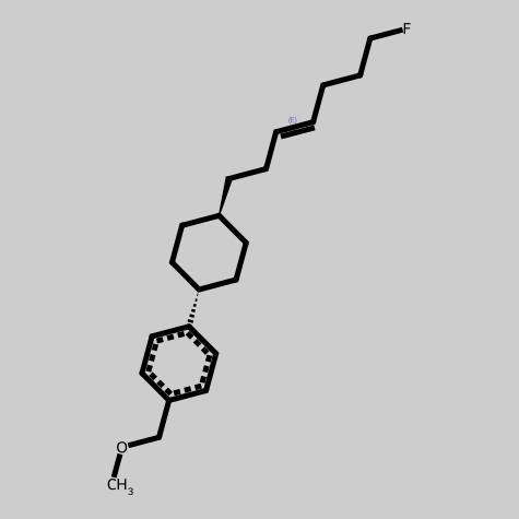 COCc1ccc([C@H]2CC[C@H](CC/C=C/CCCF)CC2)cc1